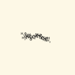 COC(=O)C(C)(C)CNC(=O)C1CCN(c2ncc(C(=O)Oc3ccc(C(=N)N)cc3)s2)CC1